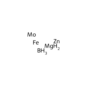 B.[Fe].[MgH2].[Mo].[Zn]